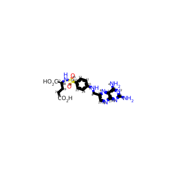 Nc1nc(N)c2nc(CNc3ccc(S(=O)(=O)N[C@@H](CCC(=O)O)C(=O)O)cc3)cnc2n1